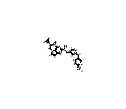 CN1c2nc(NCc3cnn(Cc4ccc(C(F)(F)F)nc4)c3)nc3ccn(c23)C[C@@H]1C1CC1